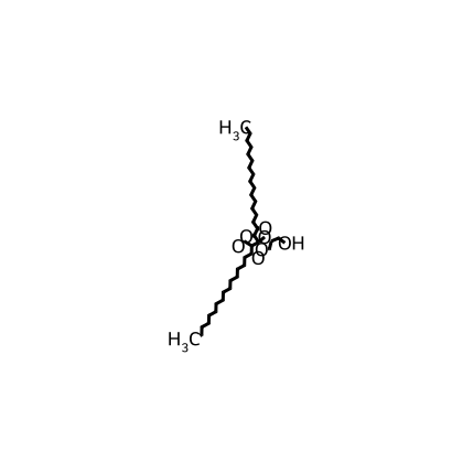 CCCCCCCCCCCCCCCC(=O)C(=O)C1(C(C=O)C(=O)CCCCCCCCCCCCCCC)OCC(CO)O1